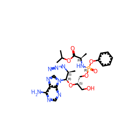 CC(C)OC(=O)[C@@H](C)N[P@@](=O)(OC[C@H](CO)O[C@H]([C@H](C)N=[N+]=[N-])n1cnc2c(N)ncnc21)Oc1ccccc1